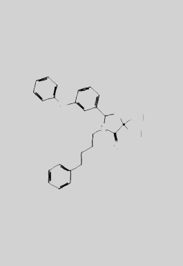 CC1(C)SC(c2cccc(Oc3ccccc3)c2)N(CCCCc2ccccc2)C1=O